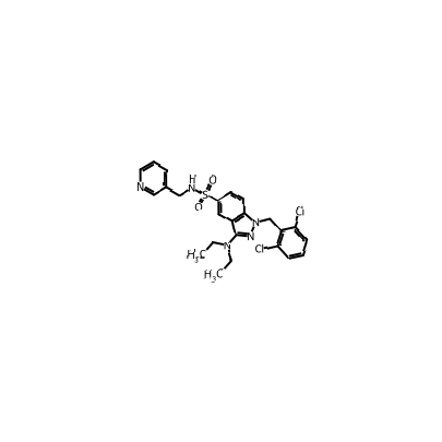 CCN(CC)c1nn(Cc2c(Cl)cccc2Cl)c2ccc(S(=O)(=O)NCc3cccnc3)cc12